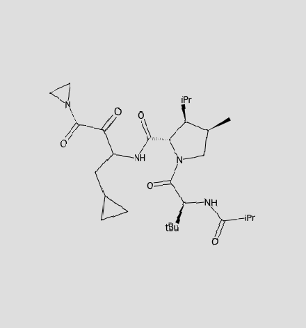 CC(C)C(=O)N[C@H](C(=O)N1C[C@H](C)[C@H](C(C)C)[C@H]1C(=O)NC(CC1CC1)C(=O)C(=O)N1CC1)C(C)(C)C